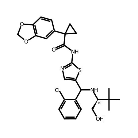 CC(C)(C)[C@@H](CO)NC(c1cnc(NC(=O)C2(c3ccc4c(c3)OCO4)CC2)s1)c1ccccc1Cl